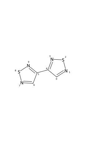 c1nsnc1-c1cnsn1